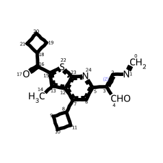 C=N/C=C(\C=O)c1cc(C2CCC2)c2c(C)c(C(=O)C3CCC3)sc2n1